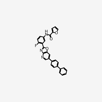 O=C(Nc1ccc(F)c(-c2nc3ncc(-c4ccc(-c5ccccc5)cc4)cc3o2)c1)c1ccco1